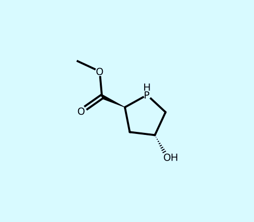 COC(=O)[C@@H]1C[C@@H](O)CP1